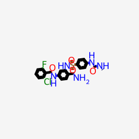 CNC(=O)Nc1ccc(S(=O)(=O)Nc2cc(NC(=O)c3c(F)cccc3Cl)ccc2CN)cc1